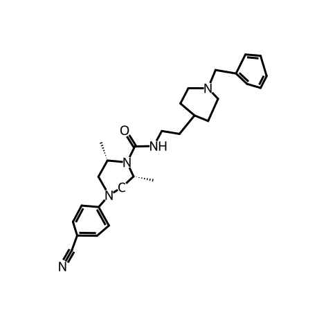 C[C@@H]1CN(c2ccc(C#N)cc2)C[C@H](C)N1C(=O)NCCC1CCN(Cc2ccccc2)CC1